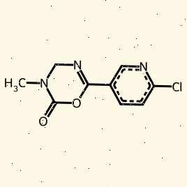 CN1CN=C(c2ccc(Cl)nc2)OC1=O